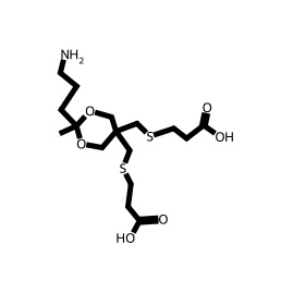 CC1(CCCN)OCC(CSCCC(=O)O)(CSCCC(=O)O)CO1